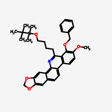 COc1ccc2c(c(CCCCO[Si](C)(C)C(C)(C)C)nc3c4cc5c(cc4ccc23)OCO5)c1OCc1ccccc1